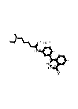 CCN(C)CCCCC(=O)Nc1cccc(-c2n[nH]c(=O)c3ccccc23)c1.Cl